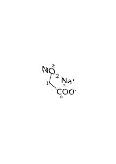 O=C([O-])C[N+](=O)[O-].[Na+]